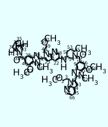 COCCn1c(-c2nc3cc(C(=O)N4C[C@H](Nc5cnc6c(c5)cc(-c5nc7cc(C(=O)N8C[C@H]9CC%10C[C@@H]8[C@H]%109)cc(OC)c7n5C)n6CCOC)CC[C@@H]4C)cc(OC)c3n2C)cc2cccnc21